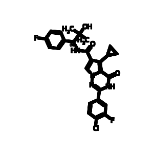 CC(C)(O)[C@@H](NC(=O)c1cn2nc(-c3ccc(Cl)c(F)c3)[nH]c(=O)c2c1C1CC1)c1ccc(F)cc1